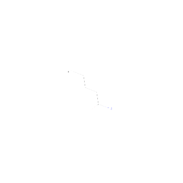 CCCCCC[C](N)O